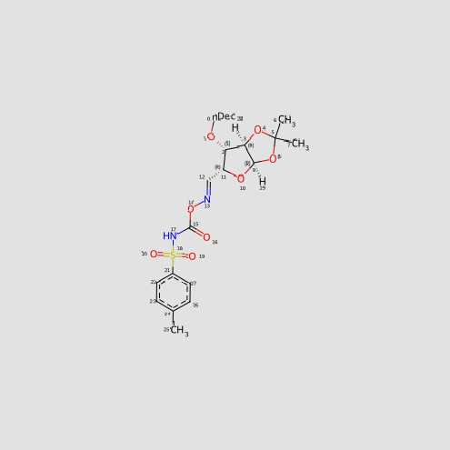 CCCCCCCCCCO[C@@H]1[C@H]2OC(C)(C)O[C@H]2O[C@@H]1C=NOC(=O)NS(=O)(=O)c1ccc(C)cc1